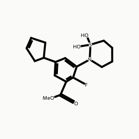 COC(=O)c1cc(C2CC=CC2)cc(N2CCCCS2(O)O)c1F